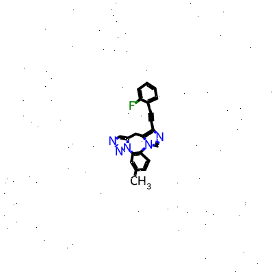 Cc1ccc2c(c1)-n1nncc1Cc1c(C#Cc3ccccc3F)ncn1-2